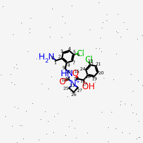 NCc1ccc(Cl)cc1CNC(=O)[N+]1(C(=O)[C@H](O)c2cccc(Cl)c2)CCC1